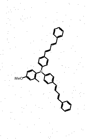 COc1ccc(N(c2ccc(C=CC=Cc3ccccc3)cc2)c2ccc(C=CC=Cc3ccccc3)cc2)c(C)c1